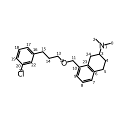 CN(C)C1CCc2cccc(COCCCc3cccc(Cl)c3)c2C1